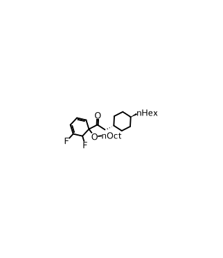 CCCCCCCCOC1(C(=O)C[C@H]2CC[C@H](CCCCCC)CC2)C=CC=C(F)C1F